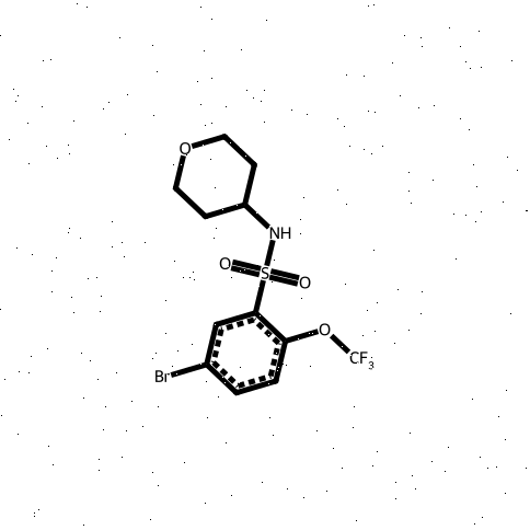 O=S(=O)(NC1CCOCC1)c1cc(Br)ccc1OC(F)(F)F